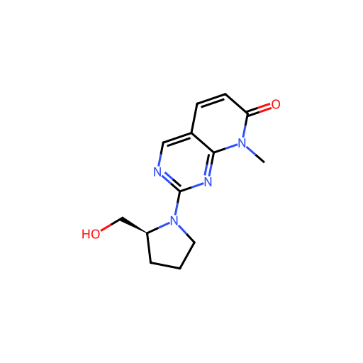 Cn1c(=O)ccc2cnc(N3CCC[C@H]3CO)nc21